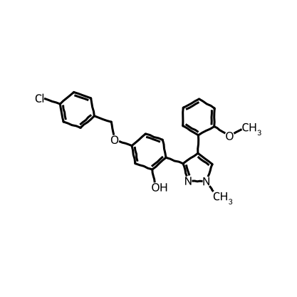 COc1ccccc1-c1cn(C)nc1-c1ccc(OCc2ccc(Cl)cc2)cc1O